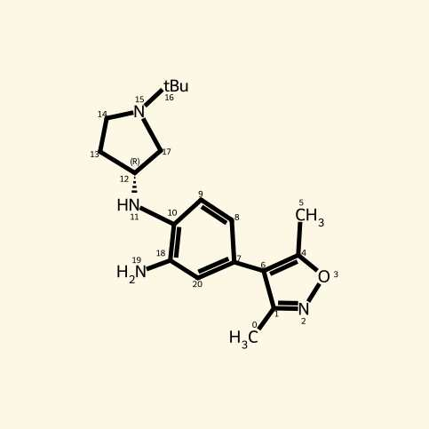 Cc1noc(C)c1-c1ccc(N[C@@H]2CCN(C(C)(C)C)C2)c(N)c1